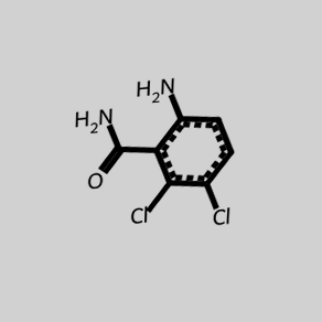 NC(=O)c1c(N)ccc(Cl)c1Cl